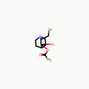 CC(=O)OC1(O)C2CCN(CC2)C1CS